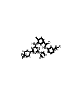 Cc1ccc(C(=O)Nc2cccc(C(F)(F)F)c2)cc1Nc1nc(N2CCC(F)(F)CC2)nc(-n2ccnc2)n1